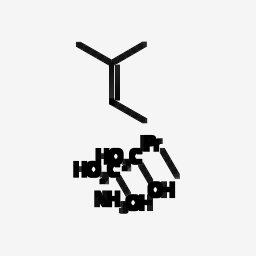 CC(C)C.CC=C(C)C.N.O=C(O)O.O=C(O)O